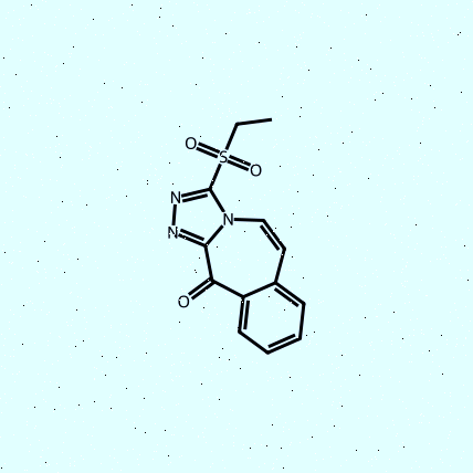 CCS(=O)(=O)c1nnc2c(=O)c3ccccc3ccn12